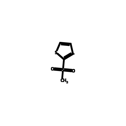 CS(=O)(=O)c1[c]ccs1